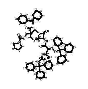 O=C(NC1C(=O)N2CC(COC(=O)N3CCCC3)(C(=O)OC(c3ccccc3)c3ccccc3)CS[C@H]12)C(=NOC(c1ccccc1)(c1ccccc1)c1ccccc1)c1csc(NC(c2ccccc2)(c2ccccc2)c2ccccc2)n1